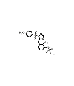 Cc1ccc(S(=O)(=O)C2N=COC2Cc2cccc(NS(C)(=O)=O)c2C)cc1